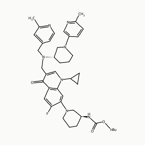 CCCCOC(=O)N[C@H]1CCCN(c2cc3c(cc2F)c(=O)c(CN(Cc2ccnc(C)c2)[C@H]2CCCN(c4ccc(C)nc4)C2)cn3C2CC2)C1